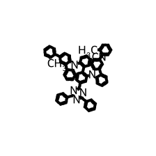 Cc1ccccc1-c1ccc2c(c1)c1ccccc1n2-c1ccc(C#N)cc1-c1ccc(-c2nc(-c3ccccc3)nc(-c3ccccc3)n2)cc1-n1c2ccccc2c2cc(-c3ccccc3C)ccc21